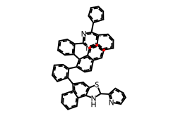 c1ccc(-c2nc(-c3ccccc3-c3c(-c4ccccc4-c4cc5c(c6ccccc46)NC(c4ccccn4)S5)ccc4ccccc34)nc3ccccc23)cc1